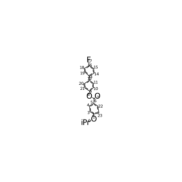 CC(C)Oc1ccc(C(=O)Oc2ccc(-c3ccc(F)cc3)cc2)cc1